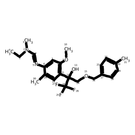 CCN(C)C=Nc1cc(OC)c(C(O)(COCc2ccc(C)cc2)C(F)(F)F)cc1C